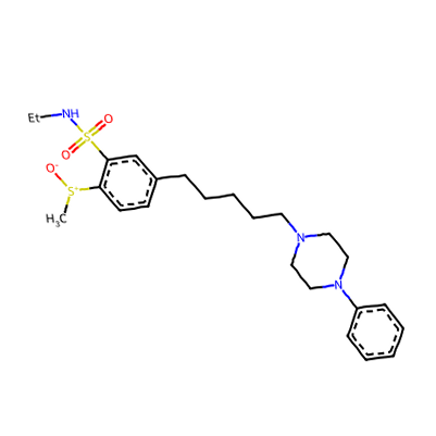 CCNS(=O)(=O)c1cc(CCCCCN2CCN(c3ccccc3)CC2)ccc1[S+](C)[O-]